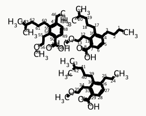 CCCCc1ccc(C(=O)O)c(CCOC)c1CCCC(C)C.CCCc1ccc(C(=O)O)c(CCOC)c1CCCC(C)C.CCc1ccc(C(=O)O)c(CCOC)c1CCCC(C)C